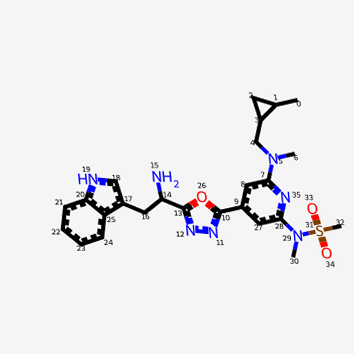 CC1CC1CN(C)c1cc(-c2nnc(C(N)Cc3c[nH]c4ccccc34)o2)cc(N(C)S(C)(=O)=O)n1